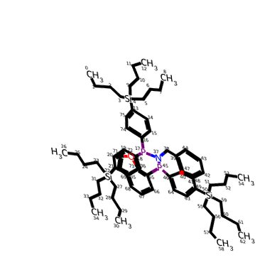 CCCC[Si](CCCC)(CCCC)c1ccc(P(c2ccc([Si](CCCC)(CCCC)CCCC)cc2)N(Cc2ccccc2)P(c2ccc([Si](CCCC)(CCCC)CCCC)cc2)c2cccc3ccoc23)cc1